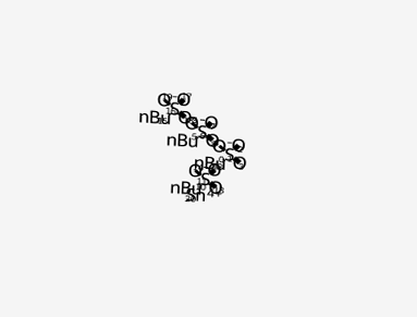 CCCCS(=O)(=O)[O-].CCCCS(=O)(=O)[O-].CCCCS(=O)(=O)[O-].CCCCS(=O)(=O)[O-].[Sn+4]